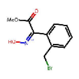 COC(=O)/C(=N\O)c1ccccc1CBr